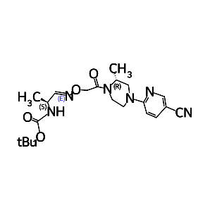 C[C@@H]1CN(c2ccc(C#N)cn2)CCN1C(=O)CO/N=C/[C@H](C)NC(=O)OC(C)(C)C